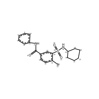 O=C(Nc1ccccc1)c1ccc(Br)c(S(=O)(=O)NC2CCCCC2)c1